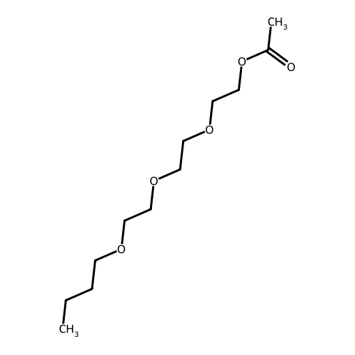 CCCCOCCOCCOCCOC(C)=O